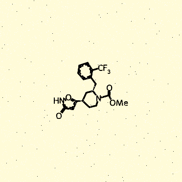 COC(=O)N1CC[C@@H](c2cc(=O)[nH]o2)C[C@H]1Cc1ccccc1C(F)(F)F